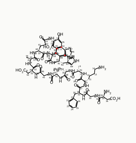 CC(C)[C@H](NC(=O)[C@H](C)NC(=O)[C@H](CCCCN)NC(=O)[C@H](Cc1ccccc1)NC(=O)CNC(=O)[C@@H](N)CC(=O)O)C(=O)N[C@H](C(=O)NCC(=O)N[C@@H](CC(=O)O)C(=O)N[C@@H](C)C(=O)N[C@@H](CCC(N)=O)C(=O)N[C@@H](Cc1ccc(O)cc1)C(=O)N[C@@H](Cc1c[nH]cn1)C(=O)N[C@@H](Cc1c[nH]cn1)C(=O)O)C(C)C